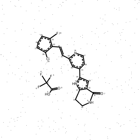 O=C(O)C(F)(F)F.O=C1NCCc2[nH]c(-c3ccnc(C=Cc4c(F)cccc4Cl)c3)cc21